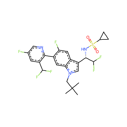 CC(C)(C)Cn1cc([C@H](NS(=O)(=O)C2CC2)C(F)F)c2cc(F)c(-c3ncc(F)cc3C(F)F)cc21